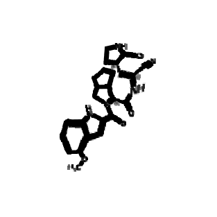 COc1cccc2[nH]c(C(=O)N3CC4CCCC4[C@H]3C(=O)N[C@H](C#N)C[C@@H]3CCNC3=O)cc12